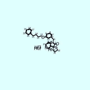 Cl.Cl.O=C(NCc1cccc(OCCCCc2ccccc2)c1)C1(c2cccnc2)NCCS1